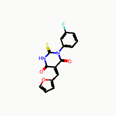 O=C1NC(=S)N(c2cccc(F)c2)C(=O)C1=Cc1ccco1